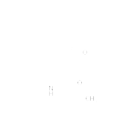 COc1[nH]ccc2cccc(=O)c1-2